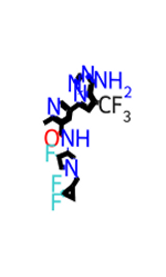 Cc1ncc(-c2cc(C(F)(F)F)c3c(N)ncnn23)cc1C(=O)N[C@@H]1CN(CC2CC2(F)F)C[C@@H]1F